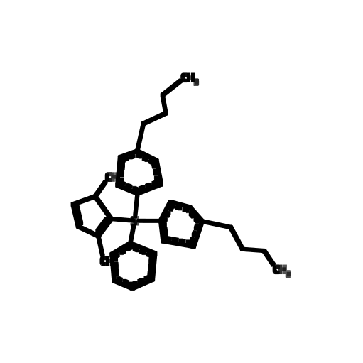 CCCCc1ccc([Si](C2=C(C)C=CC2C)(c2ccccc2)c2ccc(CCCC)cc2)cc1